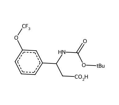 CC(C)(C)OC(=O)NC(CC(=O)O)c1cccc(OC(F)(F)F)c1